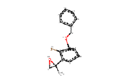 CC1(c2cccc(OCc3ccccc3)c2Br)CO1